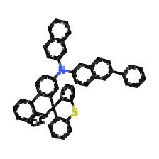 c1ccc(-c2ccc3cc(N(c4ccc5c(c4)C4(c6ccccc6Sc6ccccc64)c4cccc6cccc-5c46)c4ccc5ccccc5c4)ccc3c2)cc1